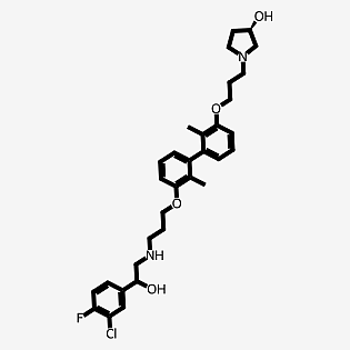 Cc1c(OCCCNCC(O)c2ccc(F)c(Cl)c2)cccc1-c1cccc(OCCCN2CC[C@@H](O)C2)c1C